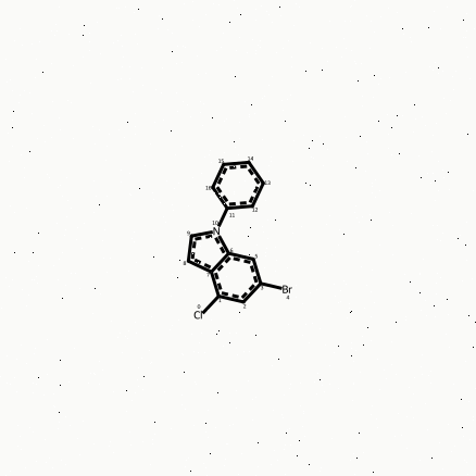 Clc1cc(Br)cc2c1ccn2-c1ccccc1